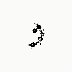 Cc1ccc(NC(=O)c2csc(C3CCN(C(=O)CCc4ccc(F)c(F)c4)CC3)n2)c(-c2ccccc2)c1